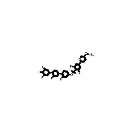 CCCCOc1ccc(-c2cc(F)c(C(F)(F)Oc3ccc(-c4ccc(-c5cc(F)c(F)c(F)c5)c(F)c4)c(F)c3)c(F)c2)nc1